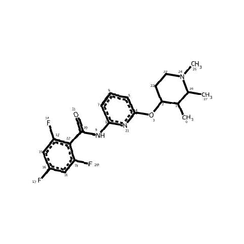 CC1C(Oc2cccc(NC(=O)c3c(F)cc(F)cc3F)n2)CCN(C)C1C